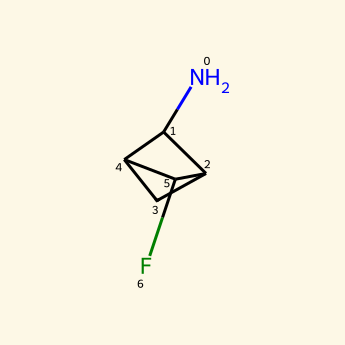 NC1C2CC1C2F